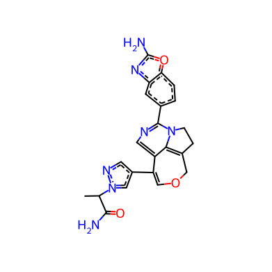 CC(C(N)=O)n1cc(C2=COCC3=C4C2=CN=C(c2ccc5oc(N)nc5c2)N4CC3)cn1